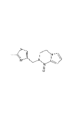 Cc1nc(CN2CCn3cccc3C2=O)cs1